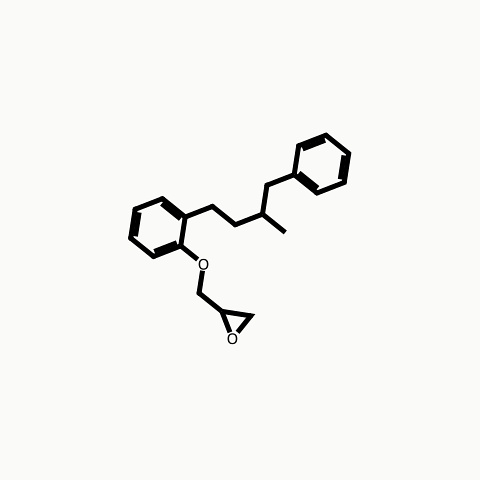 CC(CCc1ccccc1OCC1CO1)Cc1ccccc1